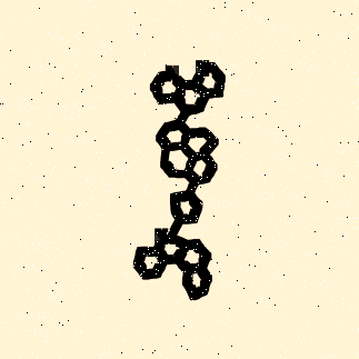 C1=CC2=C(c3ccc(-c4nc5ccccc5c5c4ccc4ccccc45)cc3)C=CC3=CC=C4C(c5cc6cccnc6c6ncccc56)=CC=C1C4C32